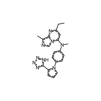 CCc1cc(N(C)c2ccc(-n3cccc3-c3nnn[nH]3)cc2)n2cnc(C)c2n1